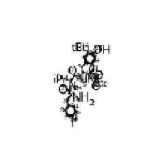 CC(C)[C@@H](C(=O)N(C)[C@@H](Cc1ccc(O)c(C(C)(C)C)c1)C(=O)NS(C)(=O)=O)N(C)C(=O)[C@@H](N)Cc1ccc(F)cc1